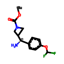 CC(C)(C)OC(=O)N1CC([C@@H](N)c2ccc(OC(F)F)cc2)C1